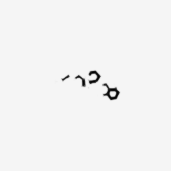 C#CCOCc1c(C)nc2c(OCc3c(Cl)cccc3Cl)cccn12